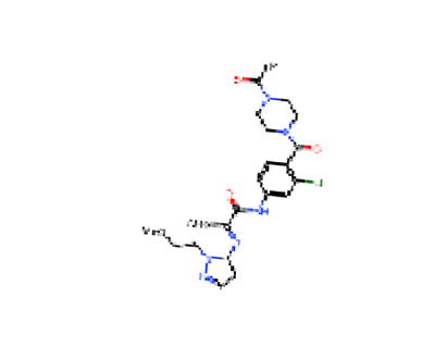 CCCC(=O)N1CCN(C(=O)c2ccc(NC(=O)C(=NC3CC=NN3CCOC)NC)cc2Cl)CC1